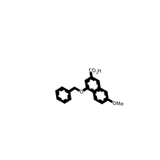 COc1ccc2c(OCc3ccccc3)cc(C(=O)O)cc2c1